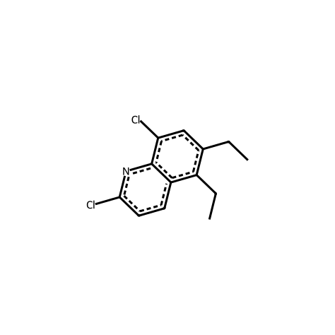 CCc1cc(Cl)c2nc(Cl)ccc2c1CC